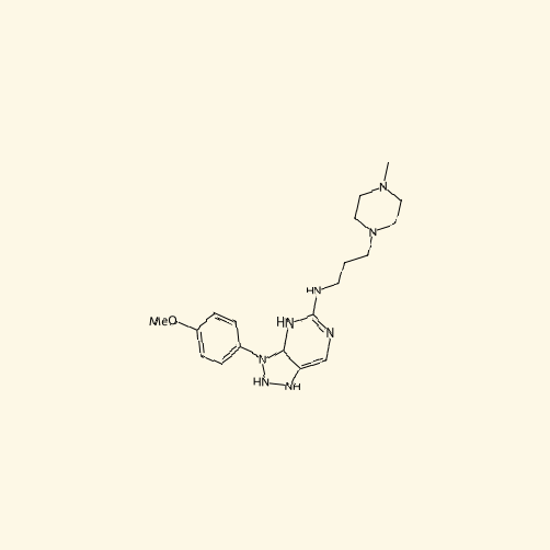 COc1ccc(N2NNC3=CN=C(NCCCN4CCN(C)CC4)NC32)cc1